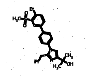 CCc1ccc(-c2ccc(-n3cc(C(C)(C)O)nc3CC(C)C)cc2)cc1S(C)(=O)=O